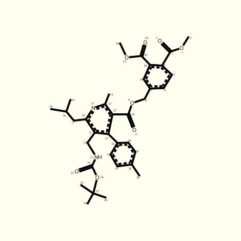 COC(=O)c1ccc(COC(=O)c2c(C)nc(CC(C)C)c(CNC(=O)OC(C)(C)C)c2-c2ccc(C)cc2)cc1C(=O)OC